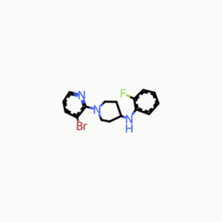 Fc1ccccc1NC1CCN(c2ncccc2Br)CC1